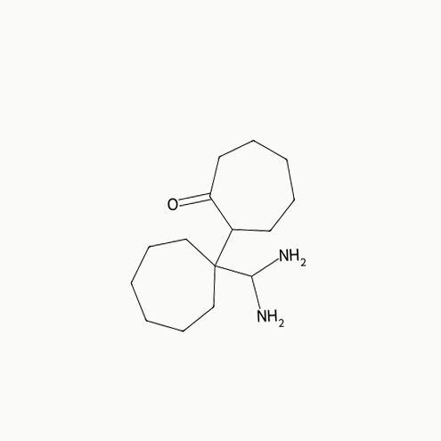 NC(N)C1(C2CCCCCC2=O)CCCCCC1